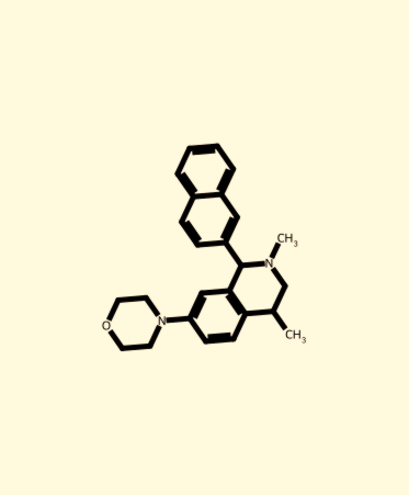 CC1CN(C)C(c2ccc3ccccc3c2)c2cc(N3CCOCC3)ccc21